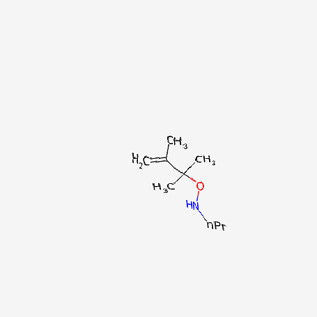 C=C(C)C(C)(C)ONCCC